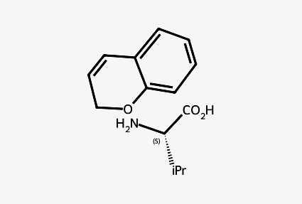 C1=Cc2ccccc2OC1.CC(C)[C@H](N)C(=O)O